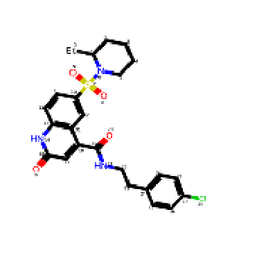 CCC1CCCCN1S(=O)(=O)c1ccc2[nH]c(=O)cc(C(=O)NCCc3ccc(Cl)cc3)c2c1